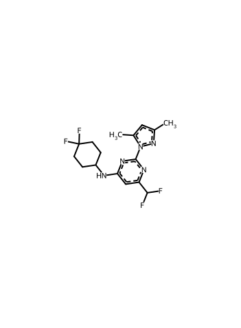 Cc1cc(C)n(-c2nc(NC3CCC(F)(F)CC3)cc(C(F)F)n2)n1